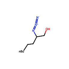 CCCCCCC(CO)N=[N+]=[N-]